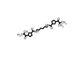 C=C(C)C(=O)C1CCC(C(=O)NCCCCCCNC(=O)C2CCC(C(=O)C(=C)C)C2)C1